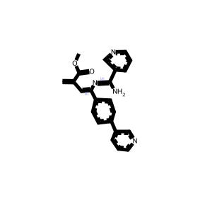 C=C(/C=C(\N=C(/N)c1cccnc1)c1ccc(-c2cccnc2)cc1)C(=O)OC